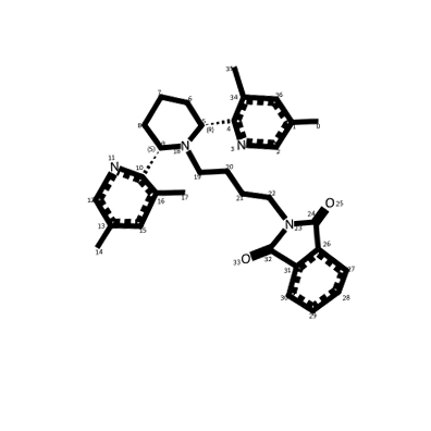 Cc1cnc([C@H]2CCC[C@@H](c3ncc(C)cc3C)N2CCCCN2C(=O)c3ccccc3C2=O)c(C)c1